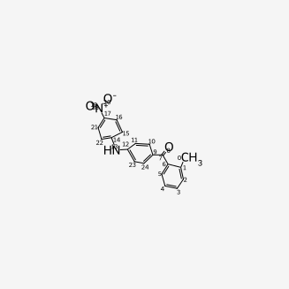 Cc1ccccc1C(=O)c1ccc(Nc2ccc([N+](=O)[O-])cc2)cc1